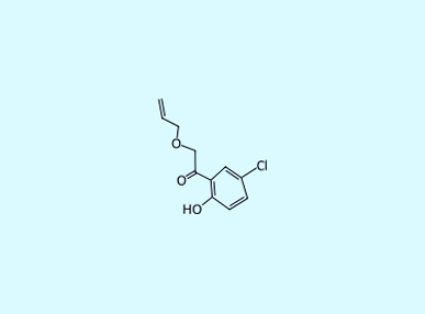 C=CCOCC(=O)c1cc(Cl)ccc1O